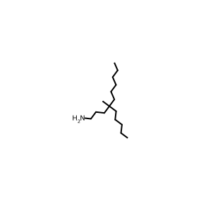 CCCCCCC(C)(CCCN)CCCCC